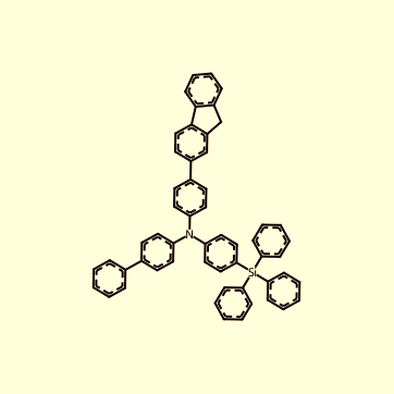 c1ccc(-c2ccc(N(c3ccc(-c4ccc5c(c4)Cc4ccccc4-5)cc3)c3ccc([Si](c4ccccc4)(c4ccccc4)c4ccccc4)cc3)cc2)cc1